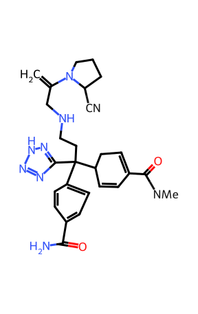 C=C(CNCCC(c1ccc(C(N)=O)cc1)(c1nn[nH]n1)C1C=CC(C(=O)NC)=CC1)N1CCCC1C#N